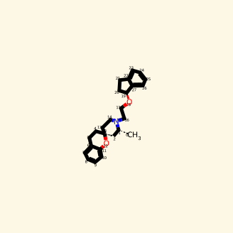 C[C@@H]1C[C@]2(CCc3ccccc3O2)CCN1CCO[C@H]1CCc2ccccc21